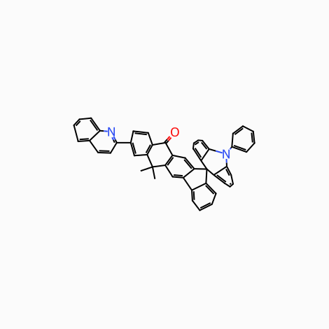 CC1(C)c2cc(-c3ccc4ccccc4n3)ccc2C(=O)c2cc3c(cc21)-c1ccccc1C31c2ccccc2N(c2ccccc2)c2ccccc21